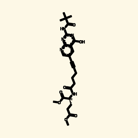 COC(=O)CC[C@@H](NC(=O)CCCC#Cc1cnc2nc(NC(=O)C(C)(C)C)nc(O)c2c1)C(=O)OC